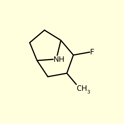 CC1CC2CCC(N2)C1F